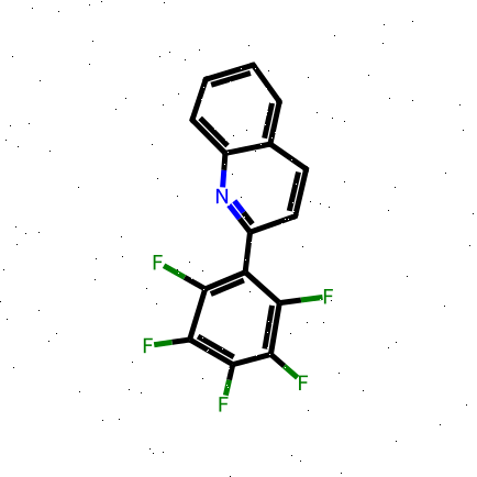 Fc1c(F)c(F)c(-c2ccc3ccccc3n2)c(F)c1F